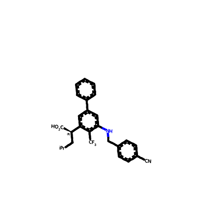 CC(C)C[C@@H](C(=O)O)c1cc(-c2ccccc2)cc(NCc2ccc(C#N)cc2)c1C(F)(F)F